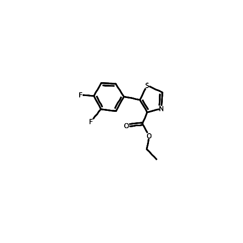 CCOC(=O)c1ncsc1-c1ccc(F)c(F)c1